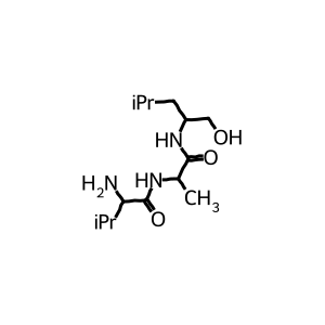 CC(C)CC(CO)NC(=O)C(C)NC(=O)C(N)C(C)C